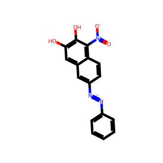 O=[N+]([O-])c1c(O)c(O)cc2cc(/N=N/c3ccccc3)ccc12